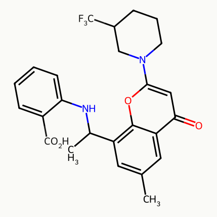 Cc1cc(C(C)Nc2ccccc2C(=O)O)c2oc(N3CCCC(C(F)(F)F)C3)cc(=O)c2c1